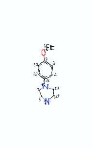 CCOc1ccc(N2CC[N]CC2)cc1